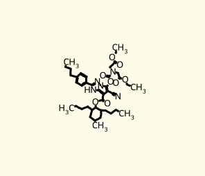 CCCCc1ccc(-c2nn3c(OC(=O)N(CC(=O)OCC)CC(=O)OCC)c(C#N)c(C(=O)OC4C(CCCC)CC(C)CC4CCCC)c3[nH]2)cc1